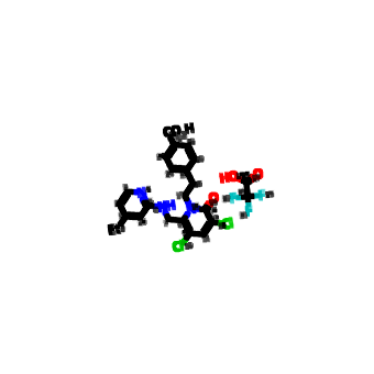 CCc1ccnc(NCc2c(Cl)cc(Cl)c(=O)n2CCc2ccc(C(=O)O)cc2)c1.O=C(O)C(F)(F)F